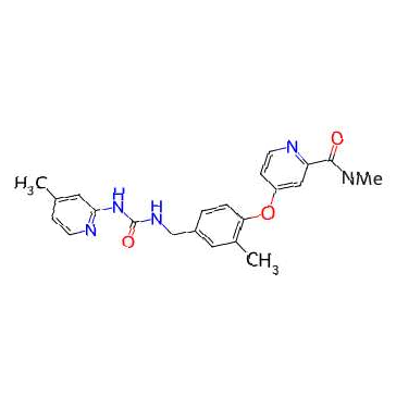 CNC(=O)c1cc(Oc2ccc(CNC(=O)Nc3cc(C)ccn3)cc2C)ccn1